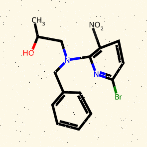 CC(O)CN(Cc1ccccc1)c1nc(Br)ccc1[N+](=O)[O-]